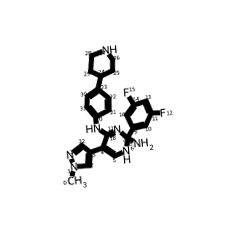 Cn1cc(C2=CNC(N)(c3cc(F)cc(F)c3)N=C2Nc2ccc(C3CCNCC3)cc2)cn1